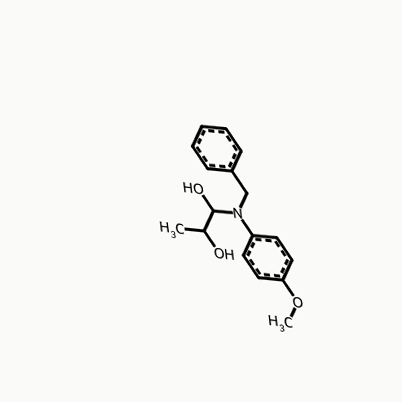 COc1ccc(N(Cc2ccccc2)C(O)C(C)O)cc1